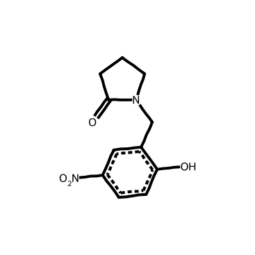 O=C1CCCN1Cc1cc([N+](=O)[O-])ccc1O